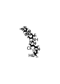 Cn1cc(S(=O)(=O)N2CC[C@H](Nc3ncc(C(F)(F)F)c(-c4cnc(CC(C)(C)O)s4)n3)[C@H](F)C2)cn1